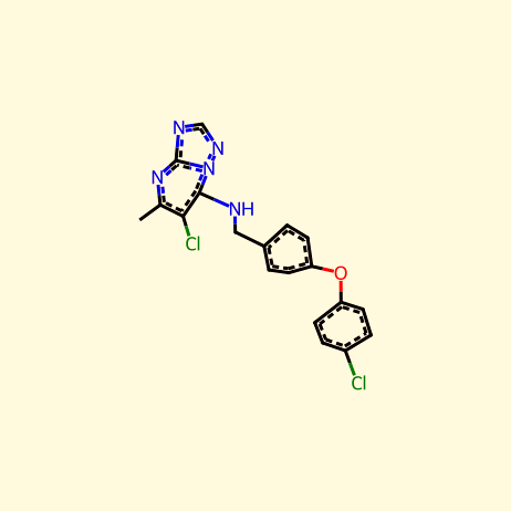 Cc1nc2ncnn2c(NCc2ccc(Oc3ccc(Cl)cc3)cc2)c1Cl